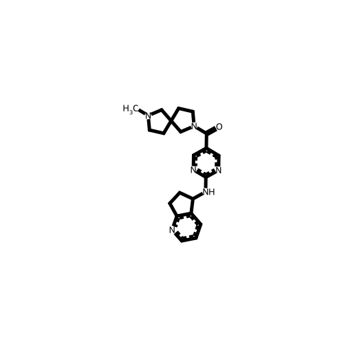 CN1CCC2(CCN(C(=O)c3cnc(NC4CCc5ncccc54)nc3)C2)C1